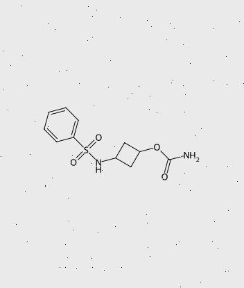 NC(=O)OC1CC(NS(=O)(=O)c2ccccc2)C1